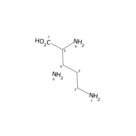 N.NCCCC(N)C(=O)O